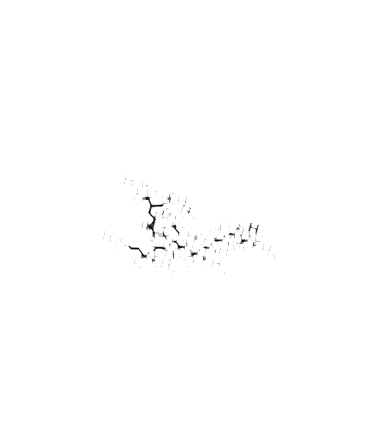 CCCC(=O)N(C)[C@H](SCCCCC(C(=O)OC)C(=O)OC)C(=O)N(C)[C@@H](CC(C)(C)O)C(=O)NC(=O)N(C)C(=O)NC(=O)NC(=O)N(C)C(=O)NC